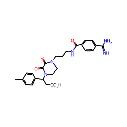 Cc1ccc(C(CC(=O)O)N2CCN(CCCNC(=O)c3ccc(C(=N)N)cc3)C(=O)C2=O)cc1